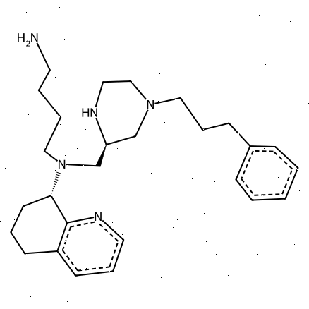 NCCCCN(C[C@@H]1CN(CCCc2ccccc2)CCN1)[C@H]1CCCc2cccnc21